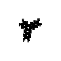 Fc1nc2nc3c4nc(F)c(F)nc4c4nc5nc(F)c(F)nc5nc4c3nc2nc1F